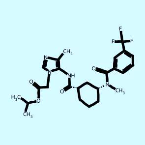 Cc1ncn(CC(=O)OC(C)C)c1NC(=O)[C@H]1CCC[C@@H](N(C)C(=O)c2cccc(C(F)(F)F)c2)C1